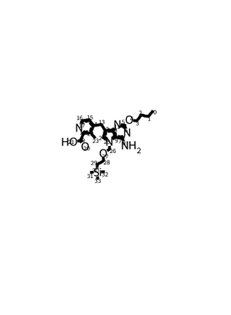 CCCCOc1nc(N)c2c(n1)c(Cc1ccnc(C(=O)O)c1C)cn2COCC[Si](C)(C)C